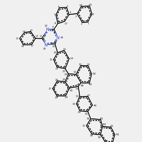 c1ccc(-c2cccc(-c3nc(-c4ccccc4)nc(-c4ccc(-c5c6ccccc6c(-c6ccc(-c7ccc8ccccc8c7)cc6)c6ccccc56)cc4)n3)c2)cc1